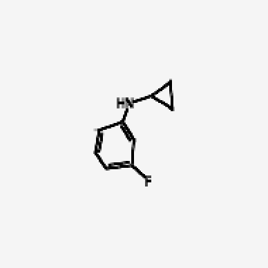 Fc1cc[c]c(NC2CC2)c1